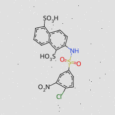 O=[N+]([O-])c1cc(S(=O)(=O)Nc2ccc3c(S(=O)(=O)O)cccc3c2S(=O)(=O)O)ccc1Cl